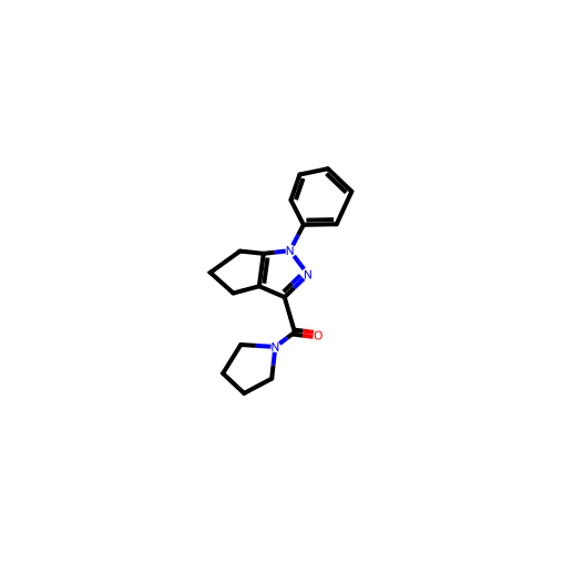 O=C(c1nn(-c2ccccc2)c2c1CCC2)N1CCCC1